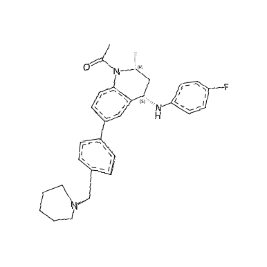 CC(=O)N1c2ccc(-c3ccc(CN4CCCCC4)cc3)cc2[C@@H](Nc2ccc(F)cc2)C[C@H]1C